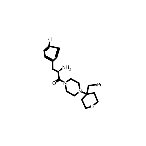 CC(C)CC1(N2CCN(C(=O)[C@H](N)Cc3ccc(Cl)cc3)CC2)CCOCC1